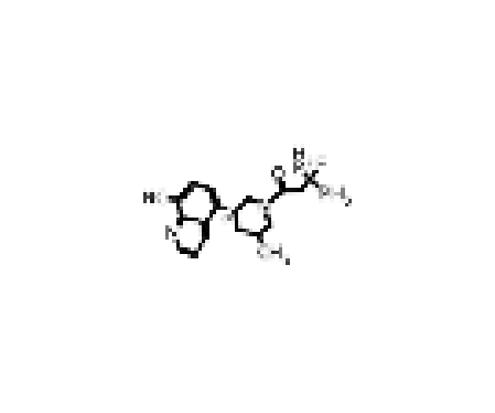 CC1C[C@@H](c2ccc(C#N)c3ncccc23)CN(C(=O)CC(F)(P)P)C1